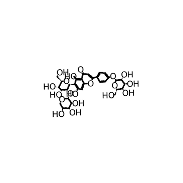 O=c1cc(-c2ccc(O[C@@H]3O[C@H](CO)[C@@H](O)[C@H](O)[C@H]3O)cc2)oc2cc(O)c([C@@H]3O[C@H](CO)[C@@H](O)[C@H](O)[C@H]3O[C@@H]3OC[C@H](O)[C@H](O)[C@H]3O)c(O)c12